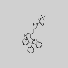 Cn1ncc(CCCNC(=O)OC(C)(C)C)c1NC(c1ccccc1)(c1ccccc1)c1ccccc1